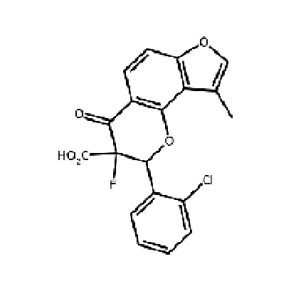 Cc1coc2ccc3c(c12)OC(c1ccccc1Cl)C(F)(C(=O)O)C3=O